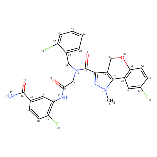 Cn1nc(C(=O)N(CC(=O)Nc2cc(C(N)=O)ccc2F)Cc2ccccc2F)c2c1-c1cc(F)ccc1OC2